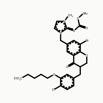 CCOC(=O)CCCCOc1cc(CC2COc3c(Br)cc(Cn4ccn(C)c4=NC(=O)OC(C)(C)C)cc3C2=O)ccc1Cl